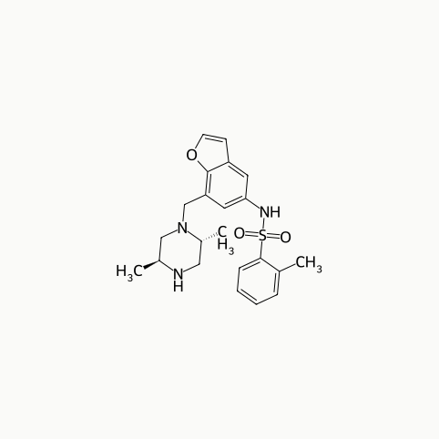 Cc1ccccc1S(=O)(=O)Nc1cc(CN2C[C@H](C)NC[C@H]2C)c2occc2c1